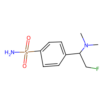 CN(C)C(CF)c1ccc(S(N)(=O)=O)cc1